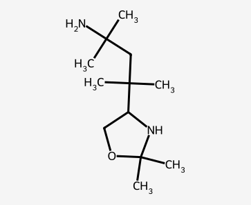 CC(C)(N)CC(C)(C)C1COC(C)(C)N1